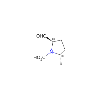 C[C@H]1CC[C@H](C=O)N1C(=O)O